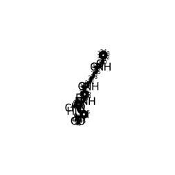 CN(c1ccccc1Nc1nc(Nc2ccc(C(=O)NCCCCCCC(=O)NOCc3ccccc3)cc2F)ncc1Cl)S(C)(=O)=O